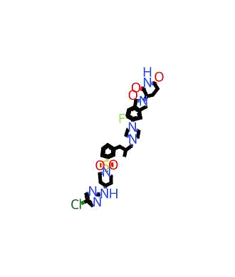 CC(Cc1cccc(S(=O)(=O)N2CCC(Nc3ncc(Cl)cn3)CC2)c1)CN1CCN(c2cc3c(cc2F)C(=O)N(C2CCC(=O)NC2=O)C3)CC1